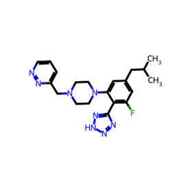 CC(C)Cc1cc(F)c(-c2nn[nH]n2)c(N2CCN(Cc3cccnn3)CC2)c1